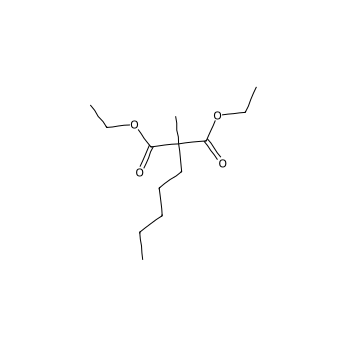 CCCCCC(C)(C(=O)OCC)C(=O)OCC